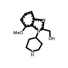 COc1cccc2nc(CO)n(C3CCNCC3)c12